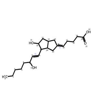 CCCCCC(O)/C=C/C1C(O)CC2C/C(=C\CCCC(=O)O)CC21